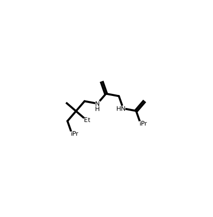 C=C(CNC(=C)C(C)C)NCC(C)(CC)CC(C)C